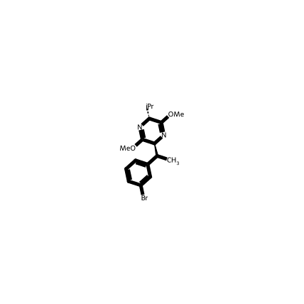 COC1=N[C@H](C(C)C)C(OC)=N[C@H]1C(C)c1cccc(Br)c1